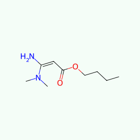 CCCCOC(=O)C=C(N)N(C)C